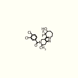 C[C@@H]1Cc2nn3c(c2CN1C(=O)c1ccc(Cl)c(Cl)c1)C(F)(F)C(O)CCC3